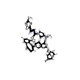 Cc1noc(/C=C/C(=O)N2CC[C@@H](N(C)c3nc(OC[C@@]45CCCN4C[C@H](F)C5)nc4c3CCN(c3cccc5cccc(Cl)c35)C4)C2)n1